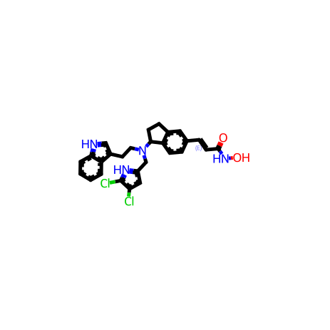 O=C(/C=C/c1ccc2c(c1)CCC2N(CCc1c[nH]c2ccccc12)Cc1cc(Cl)c(Cl)[nH]1)NO